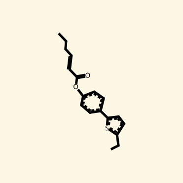 CCCC=CC(=O)Oc1ccc(-c2ccc(CC)s2)cc1